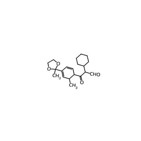 CC1C=C(C2(C)OCCO2)C=CC1C(=O)C(C=O)C1CCCCC1